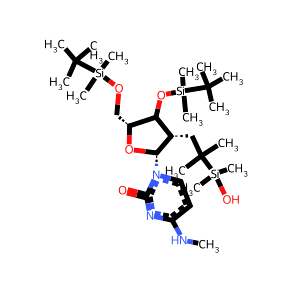 CNc1ccn([C@@H]2O[C@H](CO[Si](C)(C)C(C)(C)C)C(O[Si](C)(C)C(C)(C)C)[C@@H]2CC(C)(C)[Si](C)(C)O)c(=O)n1